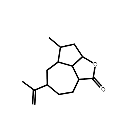 C=C(C)C1CCC2C(=O)OC3CC(C)C(C1)C32